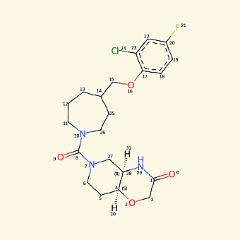 O=C1CO[C@H]2CCN(C(=O)N3CCCC(COc4ccc(F)cc4Cl)CC3)C[C@H]2N1